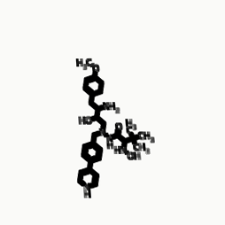 COC1=CC=C(CC(N)C(O)CN(Cc2ccc(C3=CCNC=C3)cc2)NC(=O)C(NO)C(C)(C)C)CC1